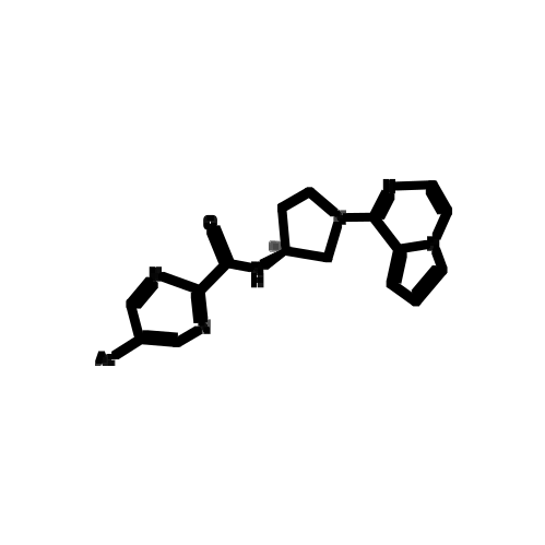 CC(=O)c1cnc(C(=O)N[C@H]2CCN(c3nccn4cccc34)C2)nc1